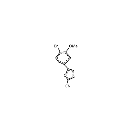 COc1cc(-c2ccc(C#N)o2)ccc1Br